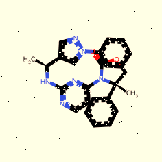 C[C@H](Nc1nccc(N2C(=O)OC[C@]2(C)c2ccccc2)n1)c1cnn(-c2ccccc2)c1